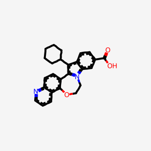 O=C(O)c1ccc2c(C3CCCCC3)c3n(c2c1)CCOc1c-3ccc2ncccc12